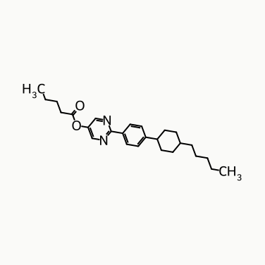 CCCCCC1CCC(c2ccc(-c3ncc(OC(=O)CCCC)cn3)cc2)CC1